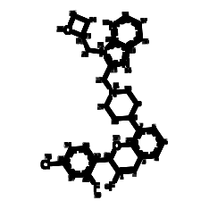 FC1=Cc2cccc(C3CCN(Cc4nc5cccnc5n4C[C@@H]4CCO4)CC3)c2OC1c1ccc(Cl)cc1F